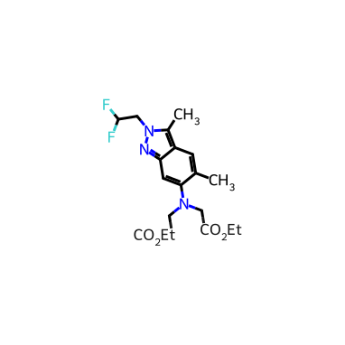 CCOC(=O)CN(CC(=O)OCC)c1cc2nn(CC(F)F)c(C)c2cc1C